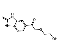 C=C1Nc2ccc(C(=O)CSCCO)cc2N1